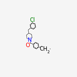 [CH2]c1ccc(C(=O)N2CCC(Cc3cccc(Cl)c3)CC2)cc1